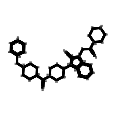 O=C(Cn1c(=O)n(C2CCN(C(=O)C3CCN(Cc4ccncc4)CC3)CC2)c2ccccc21)N1CCOCC1